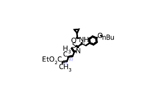 CCCCOc1ccc(C[C@H](NC(=O)C2CC2)c2nc(/C=C(C)/C=C(/C)C(=O)OCC)cs2)cc1